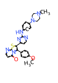 COc1ccc(-c2c(-c3ccnc(Nc4ccc(N5CCN(C)CC5)cc4)n3)sc3nccc(=O)n23)cc1